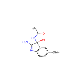 CCCC(=O)NC1(O)C(N)=Nc2ccc(OC)cc21